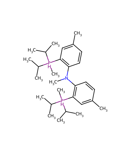 Cc1ccc(N(C)c2ccc(C)cc2[PH](C)(C(C)C)C(C)C)c([PH](C)(C(C)C)C(C)C)c1